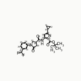 CC(C)(C)OC(=O)n1nc(C2CC2)cc1NC(=O)C1CC(=O)N(c2cccc(C(F)F)c2)C1